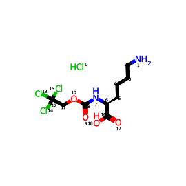 Cl.NCCCC[C@H](NC(=O)OCC(Cl)(Cl)Cl)C(=O)O